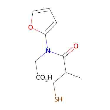 CC(CS)C(=O)N(CC(=O)O)c1ccco1